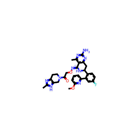 COc1cccc(-c2cc(F)ccc2C2Cc3nc(N)nc(C)c3/C(=N/OCC(=O)N3CCc4nc(C)[nH]c4C3)N2)n1